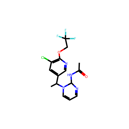 CC(=O)NC1N=CC=CN1C(C)c1cnc(OCC(F)(F)F)c(Cl)c1